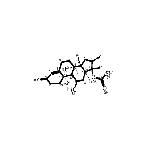 CC1C[C@H]2[C@@H]3CCC4=CC(=O)CC[C@]4(C)[C@]3(F)C(O)C[C@]2(C)C1(C)OC(=O)S